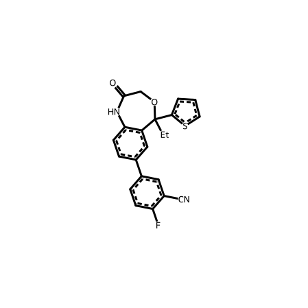 CCC1(c2cccs2)OCC(=O)Nc2ccc(-c3ccc(F)c(C#N)c3)cc21